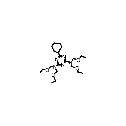 CCOCN(COCC)c1nc(C2CCCCC2)nc(N(COCC)COCC)n1